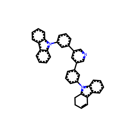 C1=Cc2c(n(-c3cccc(-c4cncc(-c5cccc(-n6c7ccccc7c7ccccc76)c5)c4)c3)c3ccccc23)CC1